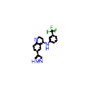 FC(F)(F)c1cccc(Nc2ccnc3ccc(-c4cn[nH]c4)cc23)c1